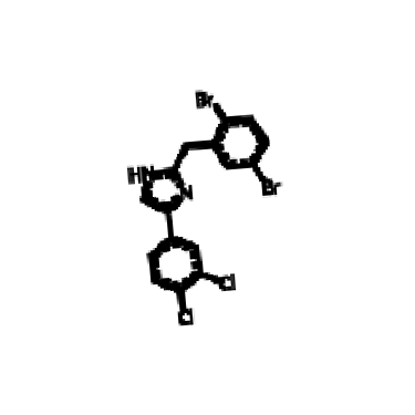 Clc1ccc(-c2c[nH]c(Cc3cc(Br)ccc3Br)n2)cc1Cl